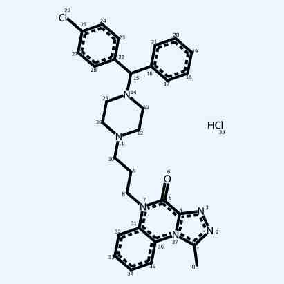 Cc1nnc2c(=O)n(CCCN3CCN(C(c4ccccc4)c4ccc(Cl)cc4)CC3)c3ccccc3n12.Cl